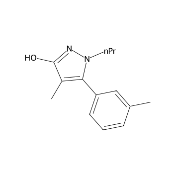 CCCn1nc(O)c(C)c1-c1cccc(C)c1